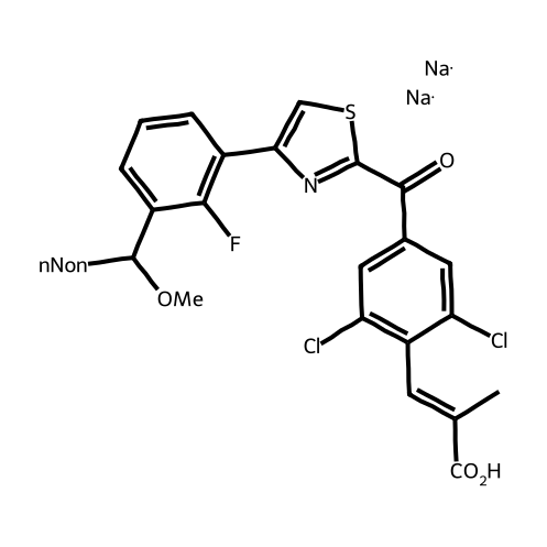 CCCCCCCCCC(OC)c1cccc(-c2csc(C(=O)c3cc(Cl)c(C=C(C)C(=O)O)c(Cl)c3)n2)c1F.[Na].[Na]